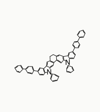 c1ccc(-c2ccc(-c3ccc4c(c3)c3cc5c(cc3n4-c3ccccc3)-c3cc4c(cc3CC5)c3cc(-c5ccc(-c6ccccc6)cc5)ccc3n4-c3ccccc3)cc2)cc1